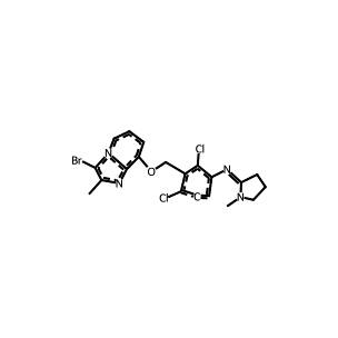 Cc1nc2c(OCc3c(Cl)ccc(N=C4CCCN4C)c3Cl)cccn2c1Br